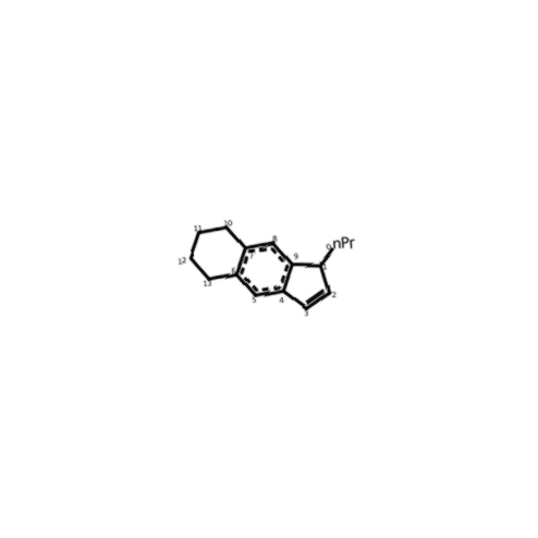 CCC[C]1C=Cc2cc3c(cc21)CCCC3